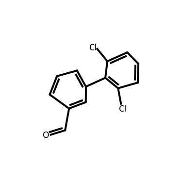 O=Cc1cccc(-c2c(Cl)cccc2Cl)c1